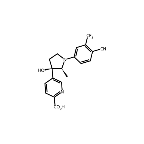 C[C@@H]1N(c2ccc(C#N)c(C(F)(F)F)c2)CC[C@@]1(O)c1ccc(C(=O)O)nc1